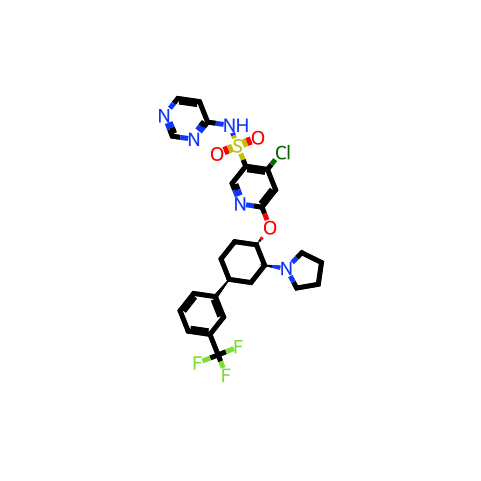 O=S(=O)(Nc1ccncn1)c1cnc(O[C@H]2CC[C@H](c3cccc(C(F)(F)F)c3)C[C@@H]2N2CCCC2)cc1Cl